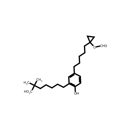 CC(C)(CCCCCc1cc(CCCCCC2(OC=O)CC2)ccc1O)C(=O)O